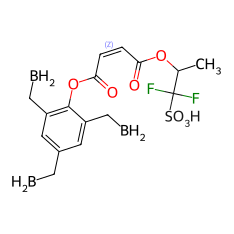 BCc1cc(CB)c(OC(=O)/C=C\C(=O)OC(C)C(F)(F)S(=O)(=O)O)c(CB)c1